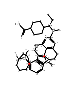 CC[C@H](C1CCC(C(=O)O)CC1)N(C)c1nc2c(c(N[C@@H](CN3C4CCC[C@@H]3CC4)c3cnn(C)c3)n1)C[C@](C)(c1ccccc1)CC2